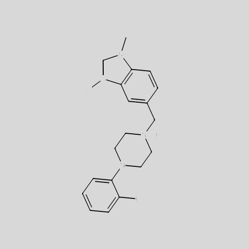 CN1C[S+]([O-])c2cc(CN3CCN(c4ccccc4F)CC3)ccc21.Cl